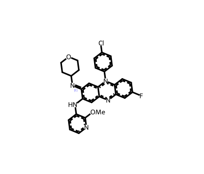 COc1ncccc1Nc1cc2nc3cc(F)ccc3n(-c3ccc(Cl)cc3)c-2c/c1=N\C1CCOCC1